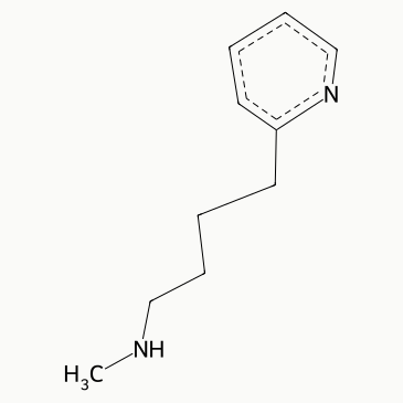 CNCCCCc1ccccn1